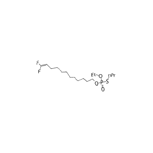 CCCSP(=O)(OCC)OCCCCCCCCCCC=C(F)F